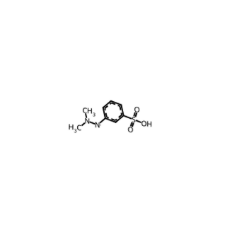 CN(C)[N]c1cccc(S(=O)(=O)O)c1